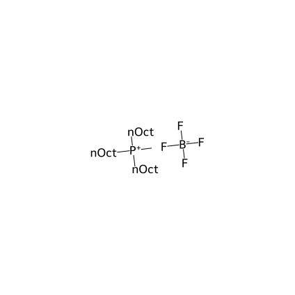 CCCCCCCC[P+](C)(CCCCCCCC)CCCCCCCC.F[B-](F)(F)F